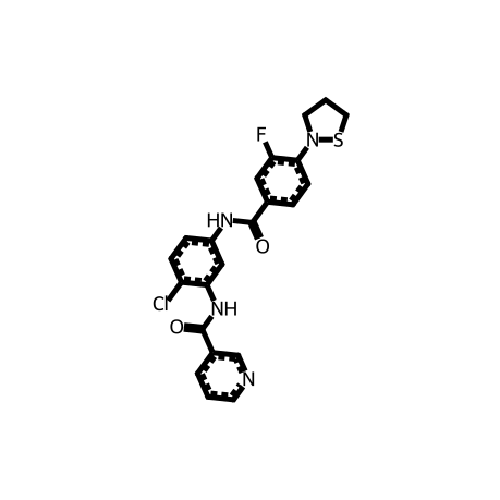 O=C(Nc1ccc(Cl)c(NC(=O)c2cccnc2)c1)c1ccc(N2CCCS2)c(F)c1